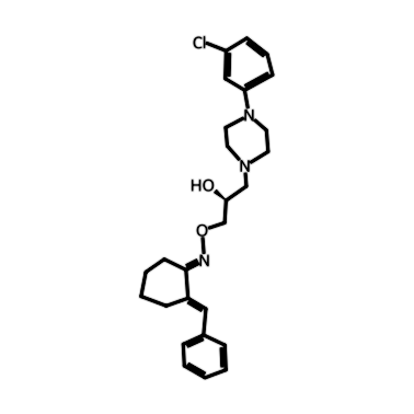 O[C@H](CO/N=C1\CCCC\C1=C/c1ccccc1)CN1CCN(c2cccc(Cl)c2)CC1